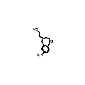 Cl.Nc1ccc2c(c1)CN(CCO)CCC2